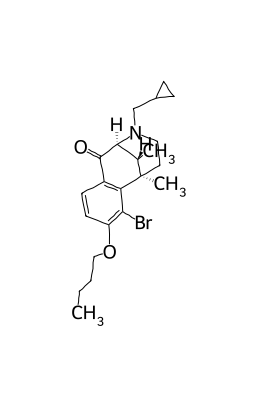 CCCCOc1ccc2c(c1Br)[C@]1(C)CCN(CC3CC3)[C@H](C2=O)[C@@H]1C